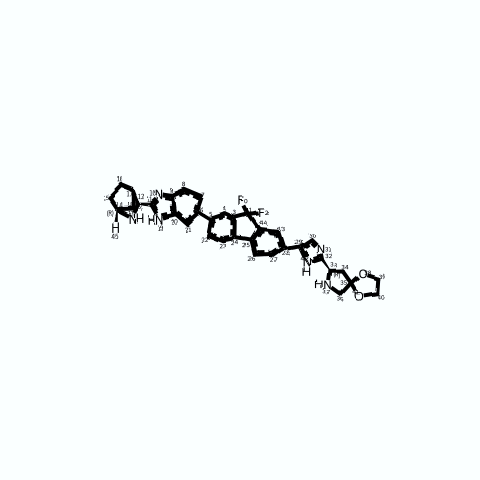 FC1(F)c2cc(-c3ccc4nc([C@H]5N[C@@H]6CCC5C6)[nH]c4c3)ccc2-c2ccc(-c3cnc([C@H]4CC5(CN4)OCCO5)[nH]3)cc21